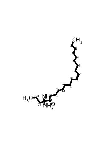 CCCCCCCC/C=C\CCCCCCCC(=O)C(N)(N)CCC